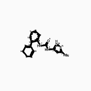 CC(C)(C)c1cc(NC(=O)Nc2ccccc2C2=CCCC=C2)[nH]n1